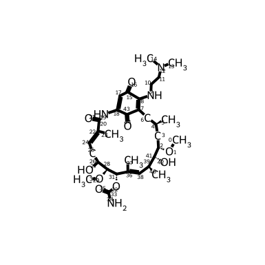 CO[C@H]1C[C@H](C)CC2=C(NCCN(C)C)C(=O)C=C(NC(=O)/C(C)=C/CC(O)[C@H](OC)[C@@H](OC(N)=O)/C(C)=C/[C@H](C)[C@H]1O)C2=O